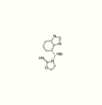 Br.N=c1occn1Cc1cccc2nsnc12